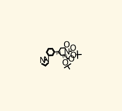 CC(C)(C)OC(=O)[C@H]1C[C@@H](c2cccc(-n3cccn3)c2)CC(=O)N1C(=O)OC(C)(C)C